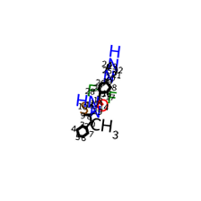 CC(c1ccccc1)c1csc(NC(=O)c2c(F)cc(N3CCNCC3)cc2F)n1